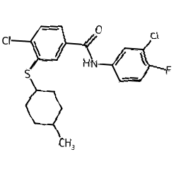 CC1CCC(Sc2cc(C(=O)Nc3ccc(F)c(Cl)c3)ccc2Cl)CC1